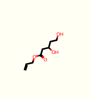 C=CCOC(=O)CC(O)CCO